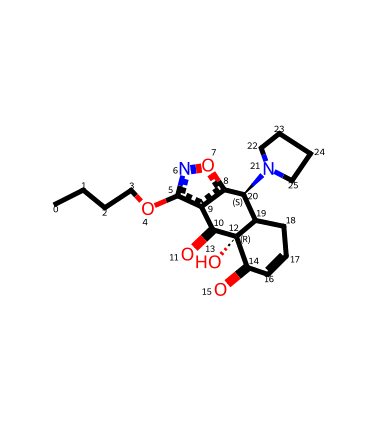 CCCCOc1noc2c1C(=O)[C@]1(O)C(=O)C=CCC1[C@@H]2N1CCCC1